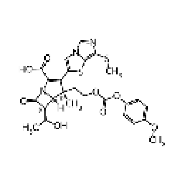 COc1ccc(OC(=O)OCC[C@@]2(C)C(c3cn4cnc(SC)c4s3)=C(C(=O)O)N3C(=O)[C@H](C(C)O)[C@@H]32)cc1